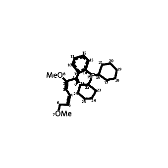 C=C(/C(=C\C=C/COC)OC)c1ccccc1P(C1CCCCC1)C1CCCCC1